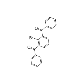 O=C(c1ccccc1)c1cccc(C(=O)c2ccccc2)c1Br